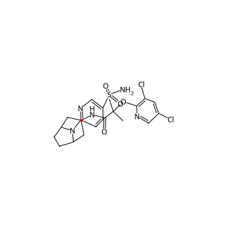 CC(C)(Oc1ncc(Cl)cc1Cl)C(=O)NC1CC2CCC(C1)N2c1ccc(S(N)(=O)=O)cn1